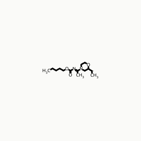 C[CH]C1CN(/C(C)=N/C(=O)OCCCCC)CCO1